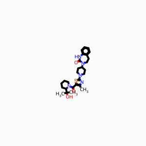 Cc1nc(N2CCC(N3CCc4ccccc4NC3=O)CC2)sc1C(=O)N1CCCCC1C(C)(C)O